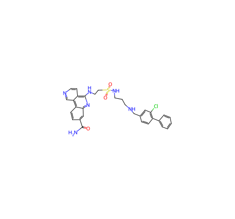 NC(=O)c1ccc2c(c1)nc(NCCS(=O)(=O)NCCCNCc1ccc(-c3ccccc3)c(Cl)c1)c1ccncc12